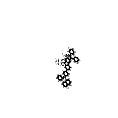 CC1(C)c2cc(-c3ccc(N(c4ccccc4)c4cccc5ccccc45)cc3)ccc2-c2cc3c(-c4ccccc4)c(-c4ccccc4)[nH]c3cc21